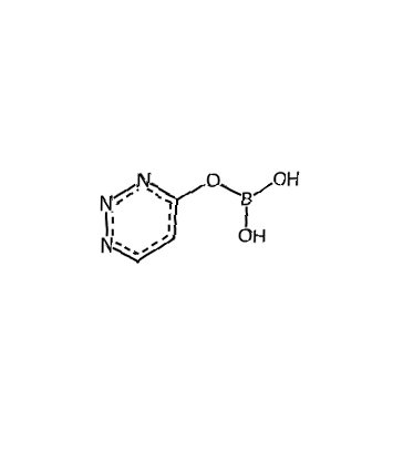 OB(O)Oc1ccnnn1